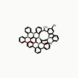 CC(C)c1cc(C(C)C)c2c(c1)C(C)c1cccc3c1B1c4cc5c(cc4N(c4c(-c6ccccc6)cccc4-c4ccccc4)c4cc6c7c(c41)N3c1ccccc1B7c1ccccc1N6)Sc1ccccc1B52